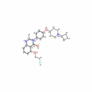 Cc1nc2cccc(OCCF)c2c(=O)n1-c1ccc(OC2CCN(C3CCC3)CC2)cc1